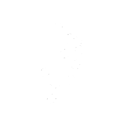 c1ccc(-c2cc(-c3cccc(-c4ccc(-c5ccc6ccc7nc(-c8ccccc8)cc(-c8ccccc8)c7c6c5)cc4)c3)cc(-c3ccccc3)n2)cc1